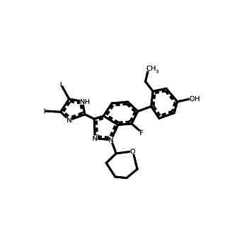 CCc1cc(O)ccc1-c1ccc2c(-c3nc(I)c(I)[nH]3)nn(C3CCCCO3)c2c1F